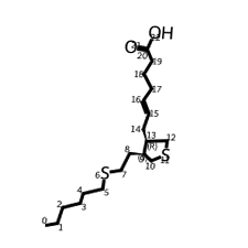 CCCCCCSCC[C@@H]1CSC[C@@H]1CC=CCCCC(=O)O